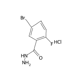 Cl.NNC(=O)c1cc(Br)ccc1F